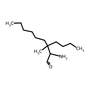 CCCCCCC(C)(CCCC)C(N)C=O